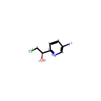 O[C@@H](CCl)c1ccc(I)cn1